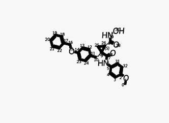 COc1ccc(NC(=O)[C@@]2(Cc3ccc(OCc4ccccc4)cc3)C[C@@H]2C(=O)NO)cc1